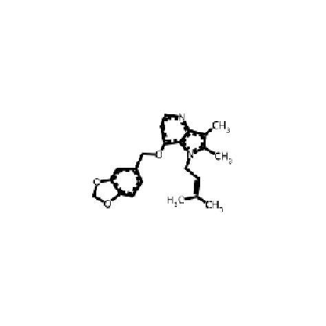 CC(C)=CCn1c(C)c(C)c2nccc(OCc3ccc4c(c3)OCO4)c21